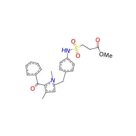 COC(=O)CCS(=O)(=O)Nc1ccc(Cc2cc(C)c(C(=O)c3ccccc3)n2C)cc1